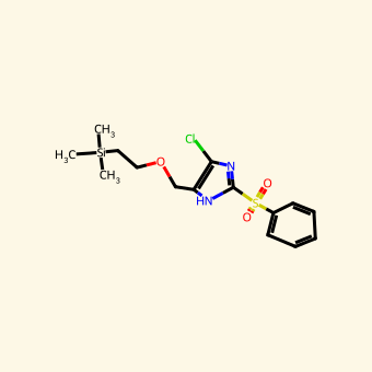 C[Si](C)(C)CCOCc1[nH]c(S(=O)(=O)c2ccccc2)nc1Cl